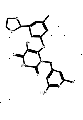 Cc1cc(Oc2c(C(C)C)c(=O)[nH]c(=O)n2Cc2cc(N)nc(F)c2)cc(C2OCCO2)c1